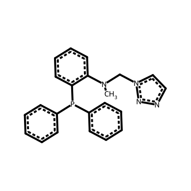 CN(Cn1ccnn1)c1ccccc1P(c1ccccc1)c1ccccc1